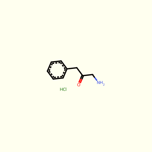 Cl.N[CH]C(=O)Cc1ccccc1